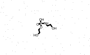 O=P(O)(NCCO)OCCO